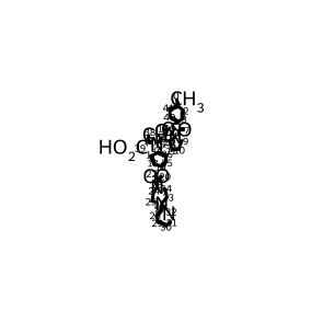 Cc1ccc(S(=O)(=O)N2CCC[C@H]2C(=O)N(c2ccc(OC(=O)N3CCN(c4ccccn4)CC3)cc2)[C@@H](C)C(=O)O)cc1